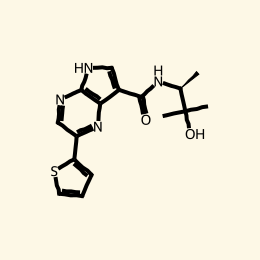 C[C@H](NC(=O)c1c[nH]c2ncc(-c3cccs3)nc12)C(C)(C)O